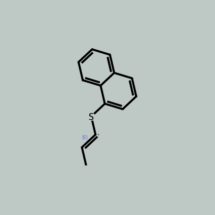 C/C=[C]/Sc1cccc2ccccc12